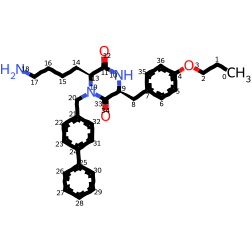 CCCOc1ccc(C[C@@H]2NC(=O)[C@H](CCCCN)N(Cc3ccc(-c4ccccc4)cc3)C2=O)cc1